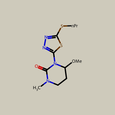 CCCSc1nnc(N2C(=O)N(C)CCC2OC)s1